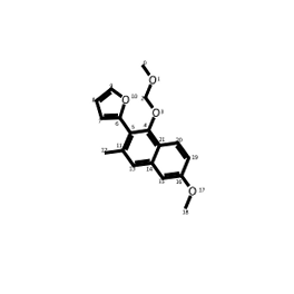 COCOc1c(-c2ccco2)c(C)cc2cc(OC)ccc12